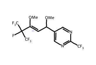 CO/C(=C\C(OC)c1cnc(C(F)(F)F)nc1)C(F)(C(F)(F)F)C(F)(F)F